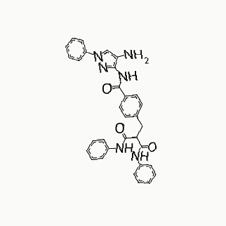 Nc1cn(-c2ccccc2)nc1NC(=O)c1ccc(CC(C(=O)Nc2ccccc2)C(=O)Nc2ccccc2)cc1